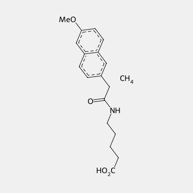 C.COc1ccc2cc(CC(=O)NCCCCC(=O)O)ccc2c1